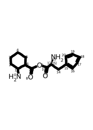 NC1CCCCC1C(=O)OC(=O)[C@@H](N)Cc1ccccc1